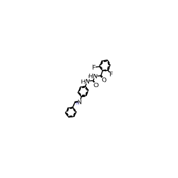 O=C(NC(=O)c1c(F)cccc1F)Nc1ccc(/N=C/c2ccccc2)cc1